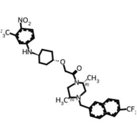 C[C@@H]1CN(Cc2ccc3cc(C(F)(F)F)ccc3c2)[C@@H](C)CN1C(=O)CO[C@H]1CC[C@H](Nc2ccc([N+](=O)[O-])c(C(F)(F)F)c2)CC1